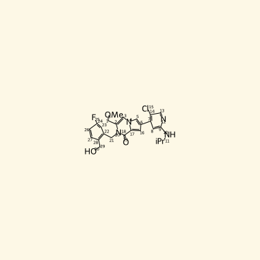 COCc1cn2cc(-c3cc(NC(C)C)ncc3Cl)cc2c(=O)n1Cc1cc(F)ccc1CO